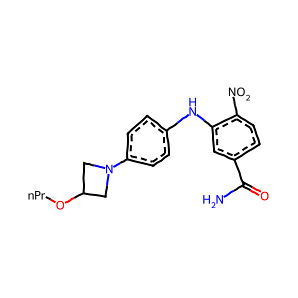 CCCOC1CN(c2ccc(Nc3cc(C(N)=O)ccc3[N+](=O)[O-])cc2)C1